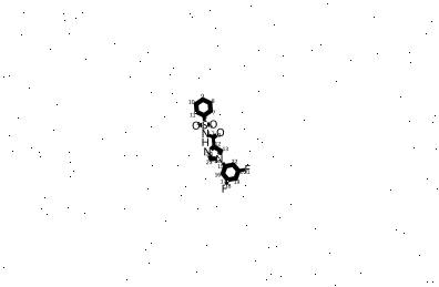 O=C(NS(=O)(=O)c1ccccc1)c1cn(-c2cc(F)cc(F)c2)cn1